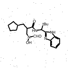 CC(C)(C)C(NC(=O)C(CC1CCCC1)CN(O)C=O)c1nc2ccccc2[nH]1